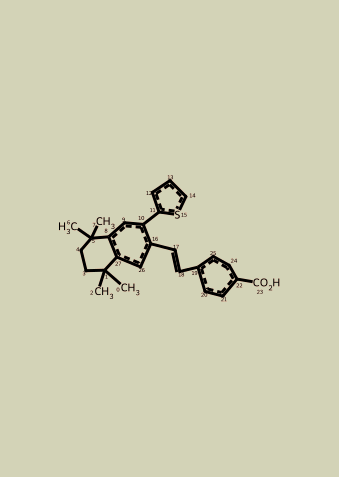 CC1(C)CCC(C)(C)c2cc(-c3cccs3)c(/C=C/c3ccc(C(=O)O)cc3)cc21